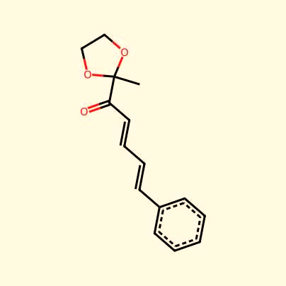 CC1(C(=O)/C=C/C=C/c2ccccc2)OCCO1